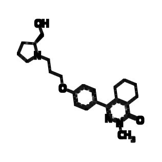 Cn1nc(-c2ccc(OCCCN3CCC[C@H]3CO)cc2)c2c(c1=O)CCCC2